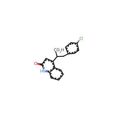 O=C(O)C(Cc1ccc(Cl)cc1)c1cc(=O)[nH]c2ccccc12